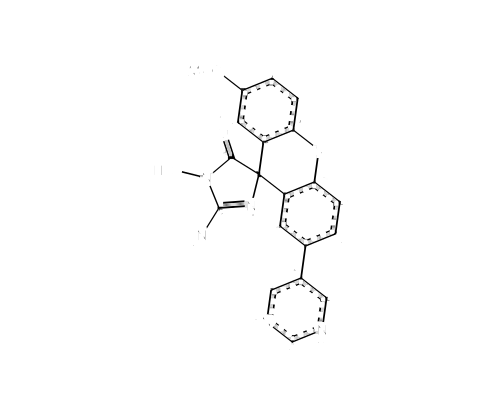 COc1ccc2c(c1)C1(N=C(N)N(C)C1=O)c1cc(-c3cncnc3)ccc1S2